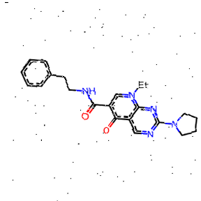 CCn1cc(C(=O)NCCc2ccccc2)c(=O)c2cnc(N3CCCC3)nc21